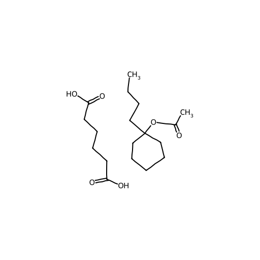 CCCCC1(OC(C)=O)CCCCC1.O=C(O)CCCCC(=O)O